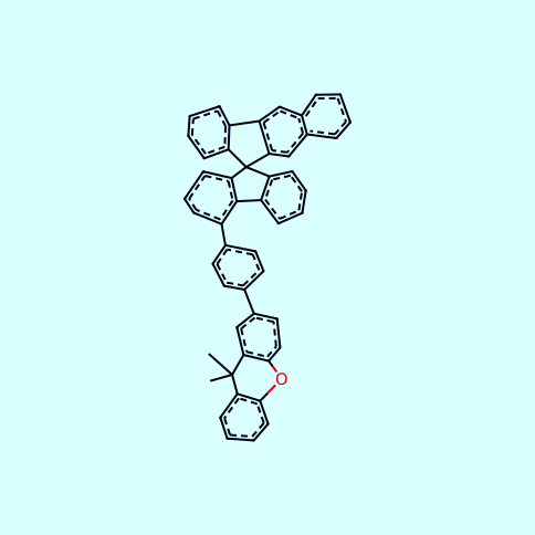 CC1(C)c2ccccc2Oc2ccc(-c3ccc(-c4cccc5c4-c4ccccc4C54c5ccccc5-c5cc6ccccc6cc54)cc3)cc21